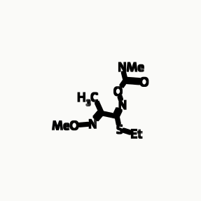 CCSC(=NOC(=O)NC)C(C)=NOC